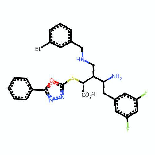 CCc1cccc(CNCC(C(N)Cc2cc(F)cc(F)c2)[C@H](Sc2nnc(-c3ccccc3)o2)C(=O)O)c1